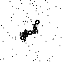 C[C@@H](c1ccccc1)N1CC[C@H](Nc2ccc(S(=O)(=O)Nc3cccc(F)n3)cc2)C1